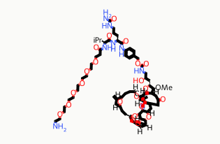 C=C1C[C@@H]2CC[C@@]34C[C@H]5OC6C(O[C@H]7CC[C@@H]8CC(=O)C[C@@H]9[C@@H](OC)[C@@H](C[C@H](O)CNC(=O)OCc%10ccc(NC(=O)[C@H](CCCNC(N)=O)NC(=O)[C@@H](NC(=O)CCOCCOCCOCCOCCOCCOCCN)C(C)C)cc%10)O[C@H]9C[C@H]9O[C@@H](CC[C@@H]1O2)C[C@@H](C)/C9=N/[C@@]7(O8)[C@@H]6O3)[C@H]5O4